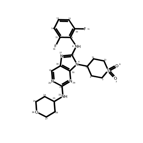 O=S1(=O)CCC(n2c(Nc3c(F)cccc3F)nc3cnc(NC4CCOCC4)nc32)CC1